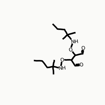 CCCC(C)(C)NOC(C=O)C(C=O)ONC(C)(C)CCC